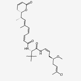 CO[C@H](C/C=C\NC(=O)[C@@H](NC(=O)\C=C/C=C\C(C)=C\[C@H](C)[C@@H]1CC=CC(=O)O1)C(C)(C)C)C/C=C(\C)Cl